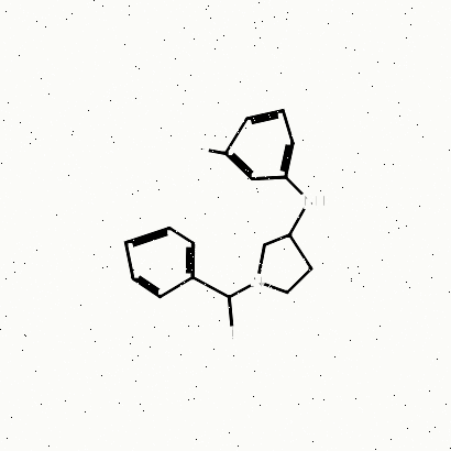 Fc1cccc(NC2CCN(C(I)c3ccccc3)C2)c1